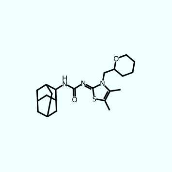 Cc1s/c(=N\C(=O)NC2C3CC4CC(C3)CC2C4)n(CC2CCCCO2)c1C